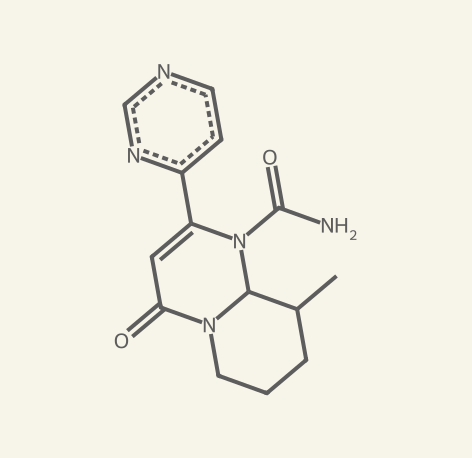 CC1CCCN2C(=O)C=C(c3ccncn3)N(C(N)=O)C12